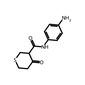 Nc1ccc(NC(=O)C2CSCCC2=O)cc1